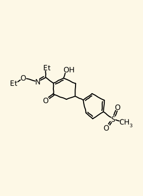 CCON=C(CC)C1=C(O)CC(c2ccc(S(C)(=O)=O)cc2)CC1=O